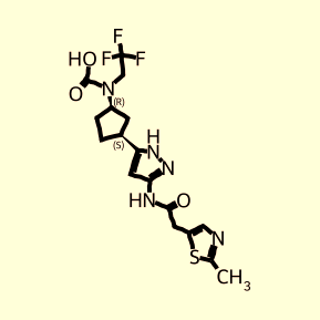 Cc1ncc(CC(=O)Nc2cc([C@H]3CC[C@@H](N(CC(F)(F)F)C(=O)O)C3)[nH]n2)s1